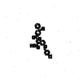 N#CC1(c2ccccc2)CCN(C(=O)c2cc(C(=O)O)c3cc(OCc4ccc(Cl)cc4)ccc3n2)CC1